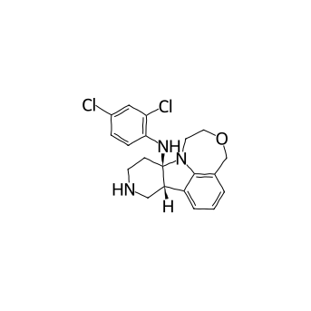 Clc1ccc(N[C@]23CCNC[C@H]2c2cccc4c2N3CCOC4)c(Cl)c1